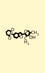 CC1=C(O)C(C)=C(c2cc3cc(N4C(=O)CCCC4=O)ccc3o2)OC1